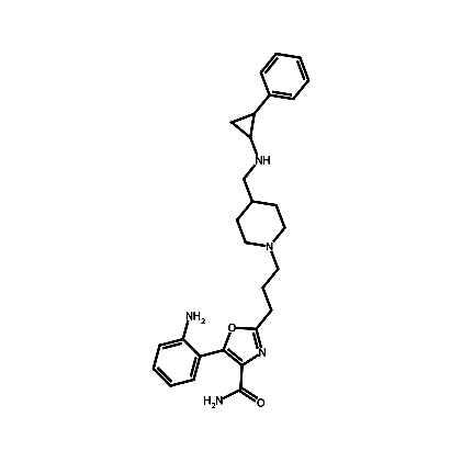 NC(=O)c1nc(CCCN2CCC(CNC3CC3c3ccccc3)CC2)oc1-c1ccccc1N